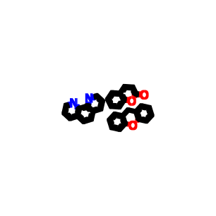 O=c1ccc2ccccc2o1.c1ccc2c(c1)Cc1ccccc1O2.c1cnc2c(c1)ccc1cccnc12